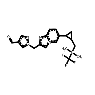 C[Si](C)(CC1CC1c1ccc2nc(Cn3cc(C=O)cn3)cn2c1)C(F)(F)F